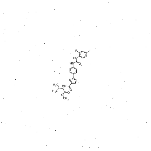 COC(=O)[C@@H](NC(=O)c1csc(-c2ccc(NC(=O)Nc3ccc(F)cc3F)cc2)n1)C(C)C